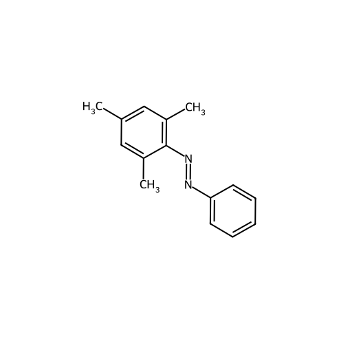 Cc1cc(C)c(/N=N/c2ccccc2)c(C)c1